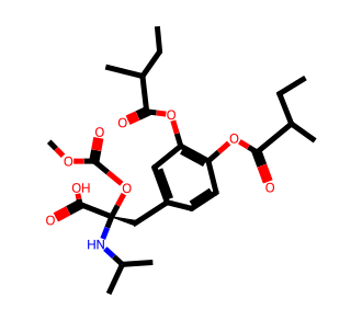 CCC(C)C(=O)Oc1ccc(C[C@](NC(C)C)(OC(=O)OC)C(=O)O)cc1OC(=O)C(C)CC